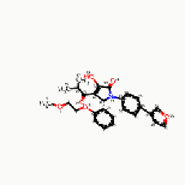 COCCOc1ccccc1[C@@H]1C(C(=O)C(C)C)=C(O)C(=O)N1c1ccc(-c2ccoc2)cc1